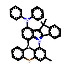 Cc1cc2c3c(c1)-n1c4c(c5c(N(c6ccccc6)c6ccccc6)ccc(c51)B3c1ccccc1S2)C(C)(C)c1ccccc1-4